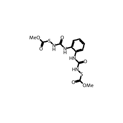 COC(=O)SNC(=O)Nc1ccccc1NC(=O)NSC(=O)OC